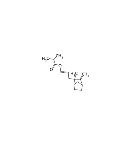 C=C1C2CCC(C2)C1(C)C/C=C/OC(=O)C(C)C